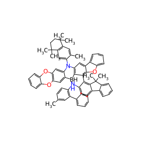 Cc1ccc(Nc2ccc3c(c2-c2c4c(cc5c2oc2ccccc25)N(c2cc5c(cc2C)C(C)(C)CCC5(C)C)c2cc5c(cc2B4)Oc2ccccc2O5)C(C)(C)c2ccccc2-3)c(-c2ccccc2)c1